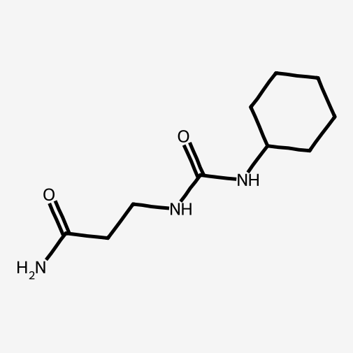 NC(=O)CCNC(=O)NC1CCCCC1